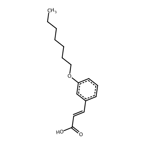 CCCCCCCOc1cccc(/C=C/C(=O)O)c1